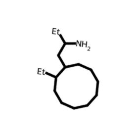 CCC(N)CC1CCCCCCCCC1CC